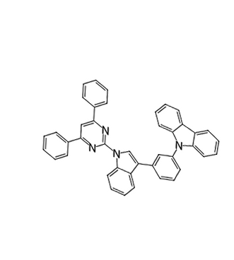 c1ccc(-c2cc(-c3ccccc3)nc(-n3cc(-c4cccc(-n5c6ccccc6c6ccccc65)c4)c4ccccc43)n2)cc1